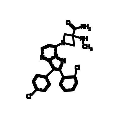 CNC1(C(N)=O)CN(c2ccnc3c(-c4ccc(Cl)cc4)c(-c4ccccc4Cl)nn23)C1